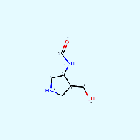 O=CNC1CNCC1CO